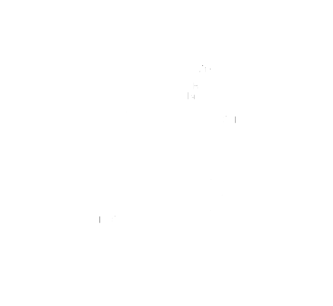 CCCCC(C1c2ccccc2-c2ccccc21)C(CCCC)C1c2ccccc2-c2ccccc21.[Br-].[Br-].[Zr+2]